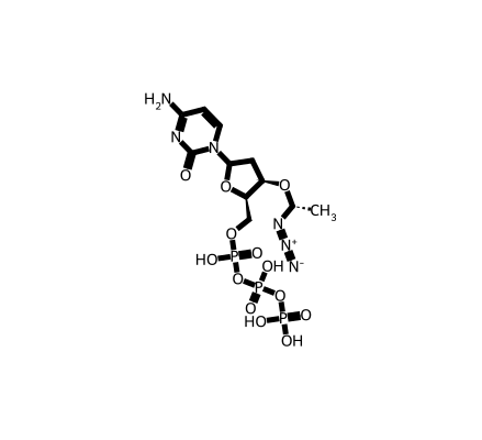 C[C@H](N=[N+]=[N-])O[C@@H]1CC(n2ccc(N)nc2=O)O[C@@H]1COP(=O)(O)OP(=O)(O)OP(=O)(O)O